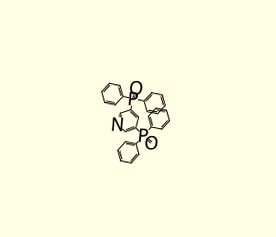 O=P(c1ccccc1)(c1ccccc1)c1cncc(P(=O)(c2ccccc2)c2ccccc2)c1